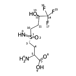 N=[S@@](=O)(CCC(N)C(=O)O)CC[C@@H](O)C(F)(F)F